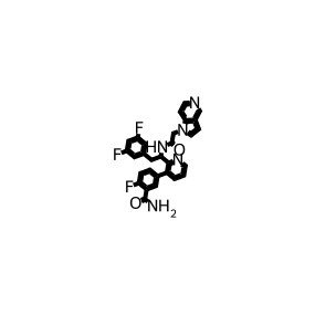 NC(=O)c1cc(-c2cccnc2C(Cc2cc(F)cc(F)c2)NC(=O)Cn2ccc3cnccc32)ccc1F